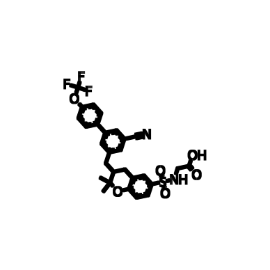 CC1(C)Oc2ccc(S(=O)(=O)NCC(=O)O)cc2CC1Cc1cc(C#N)cc(-c2ccc(OC(F)(F)F)cc2)c1